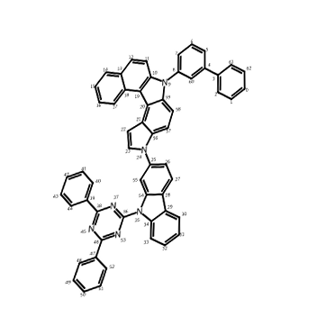 c1ccc(-c2cccc(-n3c4ccc5ccccc5c4c4c5ccn(-c6ccc7c8ccccc8n(-c8nc(-c9ccccc9)nc(-c9ccccc9)n8)c7c6)c5ccc43)c2)cc1